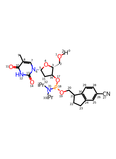 [2H]OC[C@H]1O[C@@H](n2cc(C)c(=O)[nH]c2=O)CC1OP(OCC1CCc2cc(C#N)ccc21)N(C(C)C)C(C)C